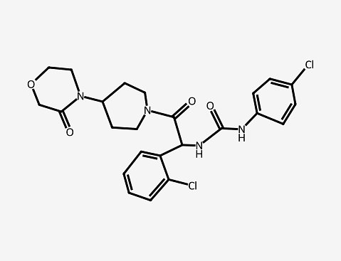 O=C(Nc1ccc(Cl)cc1)NC(C(=O)N1CCC(N2CCOCC2=O)CC1)c1ccccc1Cl